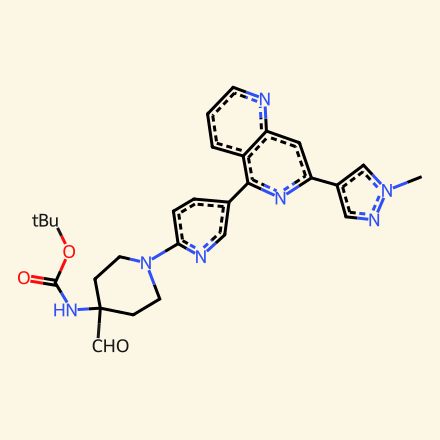 Cn1cc(-c2cc3ncccc3c(-c3ccc(N4CCC(C=O)(NC(=O)OC(C)(C)C)CC4)nc3)n2)cn1